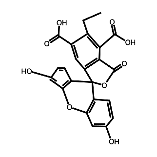 CCc1c(C(=O)O)cc2c(c1C(=O)O)C(=O)OC21c2ccc(O)cc2Oc2cc(O)ccc21